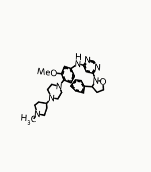 COc1cc(Nc2cc(N3OCCC3c3ccccc3)ncn2)ccc1N1CCN(C2CCN(C)CC2)CC1